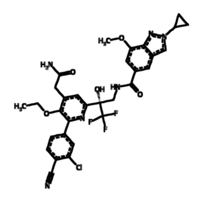 CCOc1c(CC(N)=O)cc([C@@](O)(CNC(=O)c2cc(OC)c3nn(C4CC4)cc3c2)C(F)(F)F)nc1-c1ccc(C#N)c(Cl)c1